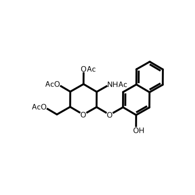 CC(=O)NC1C(Oc2cc3ccccc3cc2O)OC(COC(C)=O)C(OC(C)=O)C1OC(C)=O